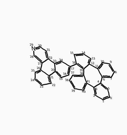 c1ccc2c(c1)-c1ccccc1-c1cccc(-c3ccc4c5ccccc5c5cnccc5c4c3)c1-c1ccccc1-2